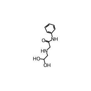 O=C(CNCC(O)O)Nc1ccccc1